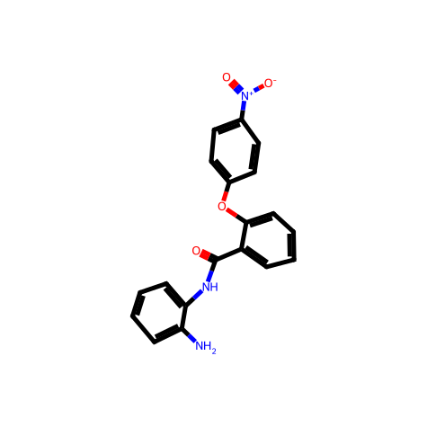 Nc1ccccc1NC(=O)c1ccccc1Oc1ccc([N+](=O)[O-])cc1